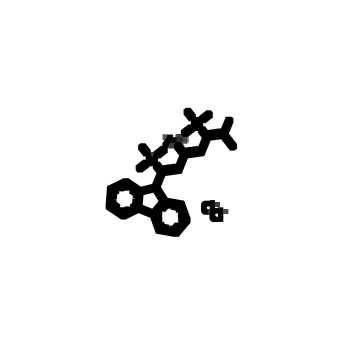 CC(C)=C(C=[C]([Zr+2])C=C(C1c2ccccc2-c2ccccc21)[Si](C)(C)C)[Si](C)(C)C.[Cl-].[Cl-]